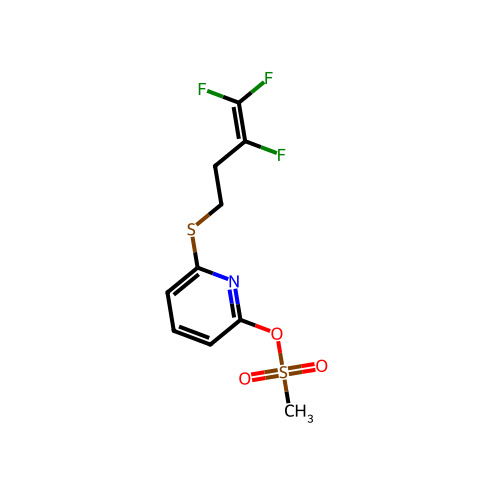 CS(=O)(=O)Oc1cccc(SCCC(F)=C(F)F)n1